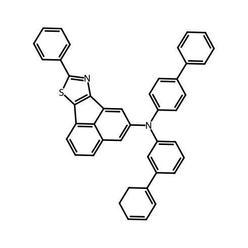 C1=CCCC(c2cccc(N(c3ccc(-c4ccccc4)cc3)c3cc4c5c(cccc5c3)-c3sc(-c5ccccc5)nc3-4)c2)=C1